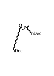 CCCCCCCCCCCCCCCCCCCCCC(=O)OCC(C)CCCCCCCCCCCCC